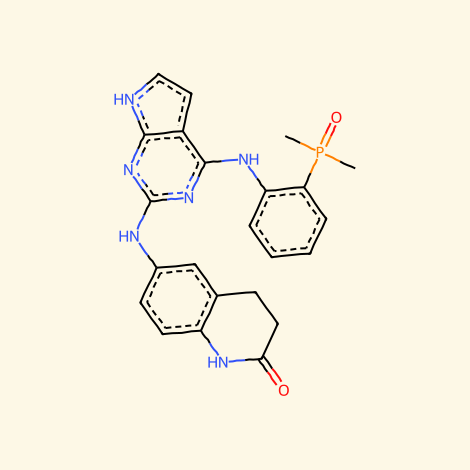 CP(C)(=O)c1ccccc1Nc1nc(Nc2ccc3c(c2)CCC(=O)N3)nc2[nH]ccc12